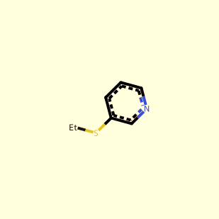 [CH2]CSc1cccnc1